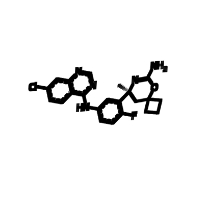 C[C@@]1(c2cc(Nc3ncnc4cc(Cl)ccc34)ccc2F)CC2(CCC2)OC(N)=N1